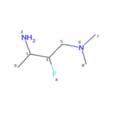 CC(N)C(F)CN(C)C